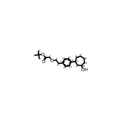 CC(C)(C)OC(=O)COCCc1ccc(C2CCCCC(O)C2)cc1